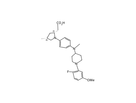 COc1ccc(F)c(N2CCC(N(C)c3ccc(N4C[C@H](C)C[C@@H]4CC(=O)O)cc3)CC2)c1